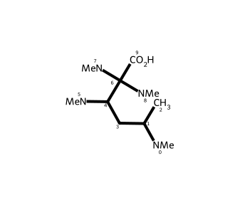 CNC(C)CC(NC)C(NC)(NC)C(=O)O